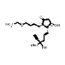 C#CC(O)(CC=C[C@H]1[C@H](O)CC(=O)[C@@H]1CCCCSCC(=O)O)CCCCCC